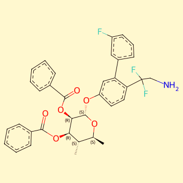 C[C@@H]1[C@@H](OC(=O)c2ccccc2)[C@@H](OC(=O)c2ccccc2)[C@H](Oc2ccc(C(F)(F)CN)c(-c3cccc(F)c3)c2)O[C@H]1C